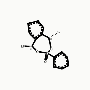 CC[C@@H]1OP(=O)(c2ccccc2)O[C@@H](CC)c2ccccc21